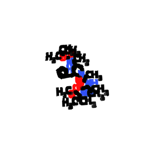 COC(=O)[C@@H](NC(=O)[C@@H](NC(=O)C(C)N1CCC(C(C)NC(=O)OC(C)(C)C)=CC(Cc2ccccc2)C1=O)C(C)C)C(C)C